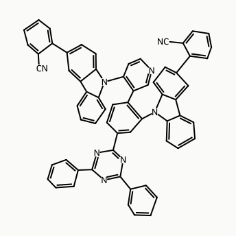 N#Cc1ccccc1-c1ccc2c(c1)c1ccccc1n2-c1ccncc1-c1ccc(-c2nc(-c3ccccc3)nc(-c3ccccc3)n2)cc1-n1c2ccccc2c2cc(-c3ccccc3C#N)ccc21